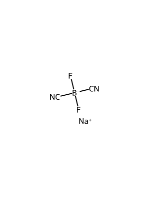 N#C[B-](F)(F)C#N.[Na+]